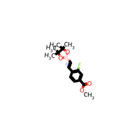 COC(=O)c1ccc(/C=C/B2OC(C)(C)C(C)(C)O2)c(F)c1